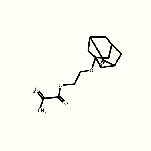 C=C(C)C(=O)OCCOC12CC3CC(C1)C(=O)C(C3)C2